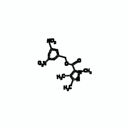 Cc1nn(C)c(C(=O)OCc2cc([N+](=O)[O-])cc([N+](=O)[O-])c2)c1C